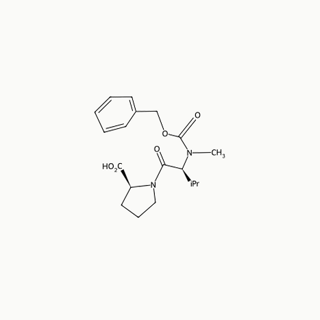 CC(C)[C@@H](C(=O)N1CCC[C@H]1C(=O)O)N(C)C(=O)OCc1ccccc1